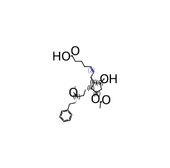 CO[C@@H](CCc1ccccc1)CC[C@@H]1[C@@H](C/C=C\CCCC(=O)O)[C@@H](O)C[C@H]1OC(C)=O